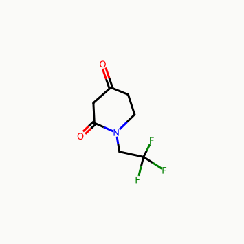 O=C1CCN(CC(F)(F)F)C(=O)C1